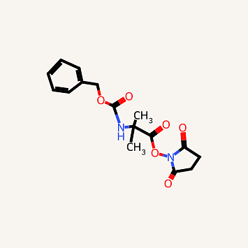 CC(C)(NC(=O)OCc1ccccc1)C(=O)ON1C(=O)CCC1=O